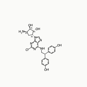 N[C@@H]1C[C@@H](n2cnc3c(NCC(c4ccc(O)cc4)c4ccc(O)cc4)nc(Cl)nc32)[C@@H](O)[C@@H]1O